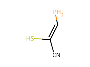 N#CC(S)=CP